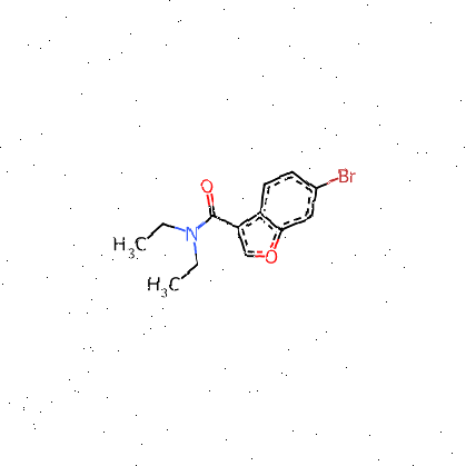 CCN(CC)C(=O)c1coc2cc(Br)ccc12